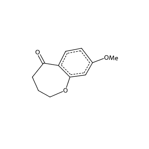 COc1ccc2c(c1)OCCCC2=O